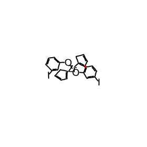 Ic1cccc([O][Zr]([O]c2cccc(I)c2)([C]2=CC=CC2)[C]2=CC=CC2)c1